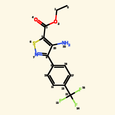 CCOC(=O)c1snc(-c2ccc(C(F)(F)F)cc2)c1N